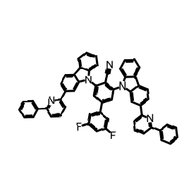 N#Cc1c(-n2c3ccccc3c3ccc(-c4cccc(-c5ccccc5)n4)cc32)cc(-c2cc(F)cc(F)c2)cc1-n1c2ccccc2c2ccc(-c3cccc(-c4ccccc4)n3)cc21